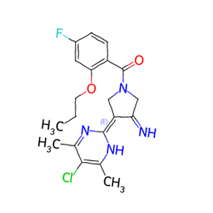 CCCOc1cc(F)ccc1C(=O)N1CC(=N)/C(=C2/N=C(C)C(Cl)=C(C)N2)C1